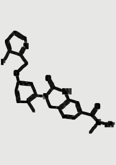 CCCN(C)C(=O)c1ccc2c(c1)NC(=O)N(c1cc(OCc3ncccc3F)ccc1C)C2